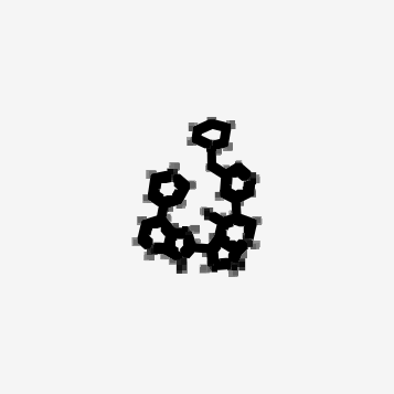 Fc1c(-c2cncc(CN3CCCCC3)c2)cnc2[nH]nc(-c3nc4c(-c5ccncc5)ccnc4[nH]3)c12